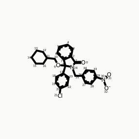 O=C1c2ccccc2C(OCC2CCCCC2)(c2ccc(Cl)cc2)N1Cc1ccc([N+](=O)[O-])cc1